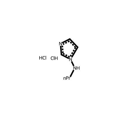 CCCNn1ccnc1.Cl.Cl